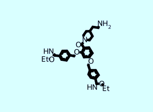 CCOC(=N)c1ccc(COc2ccc(C(=O)N3CCC(CCN)CC3)c(OCc3ccc(C(=N)OCC)cc3)c2)cc1